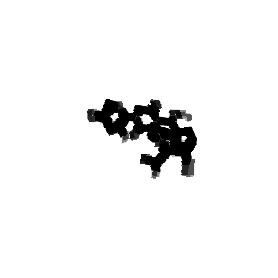 C[C@@H](c1ccc(Cl)cc1)N1C(=O)CN(c2ncc(Cl)cc2F)C(=O)C12CN(CC(F)F)C2